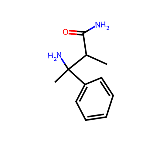 CC(C(N)=O)C(C)(N)c1ccccc1